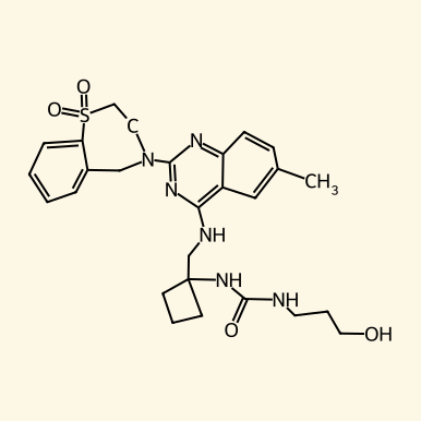 Cc1ccc2nc(N3CCS(=O)(=O)c4ccccc4C3)nc(NCC3(NC(=O)NCCCO)CCC3)c2c1